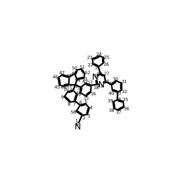 N#Cc1cccc(-c2cccc(C3(c4cccc(-c5nc(-c6ccccc6)cc(-c6cccc(-c7ccccc7)c6)n5)c4)c4ccccc4-c4ccccc43)c2)c1